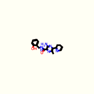 Cc1nc(C(=O)NCc2ccccc2O)c(N)nc1C1=NC=CCC1